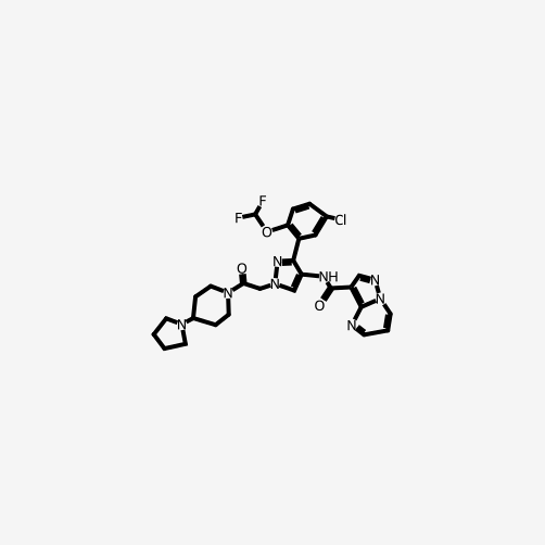 O=C(Nc1cn(CC(=O)N2CCC(N3CCCC3)CC2)nc1-c1cc(Cl)ccc1OC(F)F)c1cnn2cccnc12